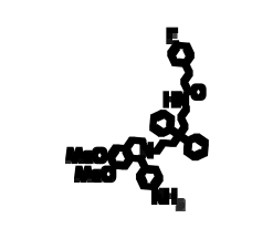 COc1cc2c(cc1OC)C(c1ccc(N)cc1)N(CCCC(CCCNC(=O)CCc1ccc(F)cc1)(c1ccccc1)c1ccccc1)CC2